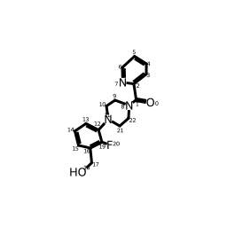 O=C(c1ccccn1)N1CCN(c2cccc(CO)c2F)CC1